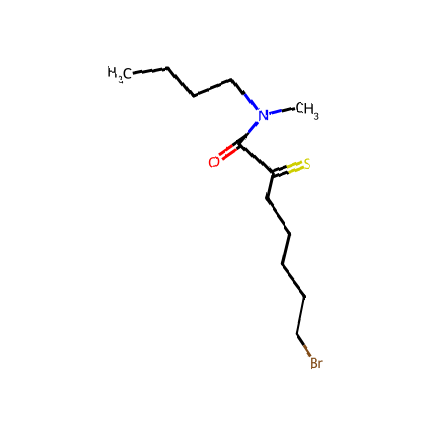 CCCCN(C)C(=O)C(=S)CCCCCBr